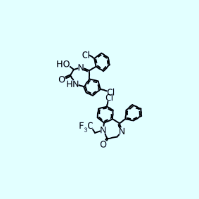 O=C1CN=C(c2ccccc2)c2cc(Cl)ccc2N1CC(F)(F)F.O=C1Nc2ccc(Cl)cc2C(c2ccccc2Cl)=NC1O